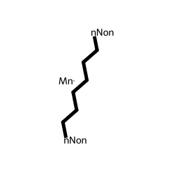 CCCCCCCCCCCCCCCCCCCCCCCC.[Mn]